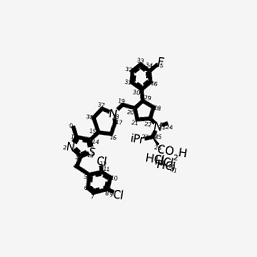 Cc1nc(Cc2ccc(Cl)cc2Cl)sc1C1CCN(CC2CC(N(C)[C@@H](C(=O)O)C(C)C)CC2c2cccc(F)c2)CC1.Cl.Cl.Cl